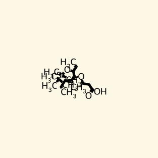 C=CC(O[Si](C)(C)C(C)(C)C)[C@@H](OCCC(=O)O)[C@H](C)CCC